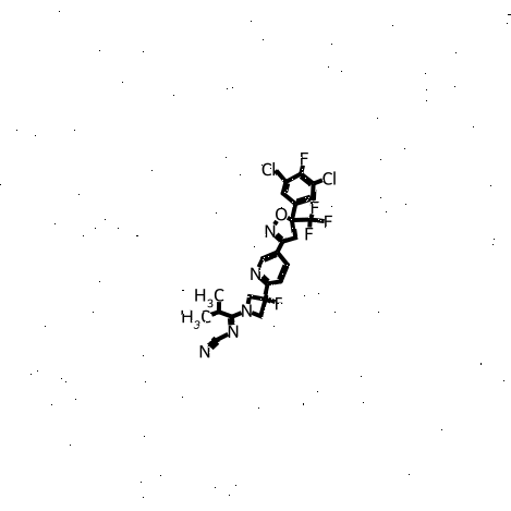 CC(C)/C(=N\C#N)N1CC(F)(c2ccc(C3=NOC(c4cc(Cl)c(F)c(Cl)c4)(C(F)(F)F)C3)cn2)C1